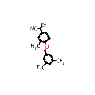 CCC(C#N)c1ccc(OCc2cc(C(F)(F)F)cc(C(F)(F)F)c2)c(C)c1